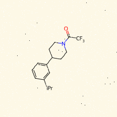 CC(C)c1cccc(C2CCN(C(=O)C(F)(F)F)CC2)c1